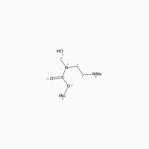 CNCCN(C)C(=O)OC(C)(C)C.Cl